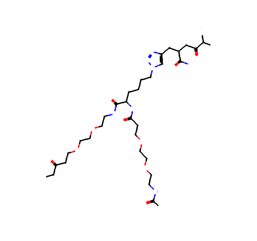 CCC(=O)CCOCCOCCNC(=O)C(CCCCn1cc(CC(CC(=O)C(C)C)C(N)=O)nn1)NC(=O)CCOCCOCCNC(C)=O